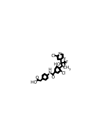 C[C@H](c1ccc(C(=O)Nc2ccc(CC(=O)O)cc2)cc1Cl)[C@@](O)(c1ccnc(Cl)c1)C(F)(F)F